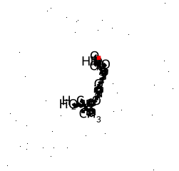 C=CC(=C\C=C\O)/C(=C(\CC)c1ccccc1)c1ccc(OCCN2CCC(OCCCc3ccc4c(c3)CN(C3CCC(=O)NC3=O)C4=O)CC2)cc1